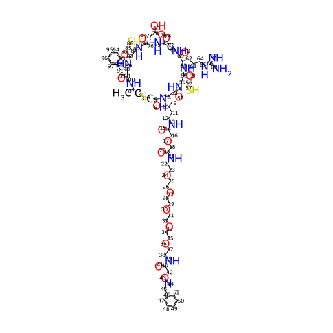 C[C@@H]1CSCC(=O)N[C@@H](CCCCNC(=O)COCC(=O)NCCOCCOCCOCCOCCOCCNC(=O)CO/N=C/c2ccccc2)C(=O)N[C@@H](CS)C(=O)N[C@@H](CCCNC(=N)N)C(=O)NCC(=O)N[C@@H](CC(=O)O)C(=O)N[C@@H](CS)C(=O)N[C@@H](Cc2ccccc2)C(=O)N1